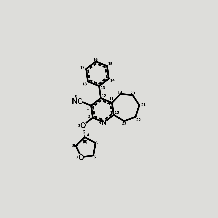 N#Cc1c(O[C@@H]2CCOC2)nc2c(c1-c1ccccc1)CCCCC2